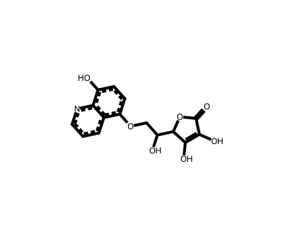 O=C1OC(C(O)COc2ccc(O)c3ncccc23)C(O)=C1O